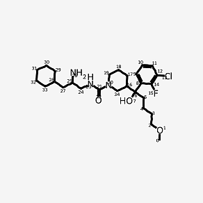 COCCCCC(O)(c1cccc(Cl)c1F)C1CCCN(C(=O)NCC(N)CC2CCCCC2)C1